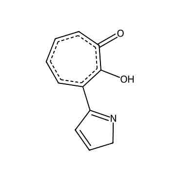 O=c1ccccc(C2=NCC=C2)c1O